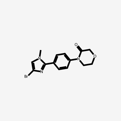 Cn1cc(Br)nc1-c1ccc(N2CCOCC2=O)cc1